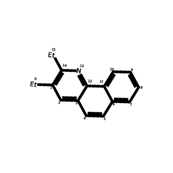 CCc1cc2ccc3ccccc3c2nc1CC